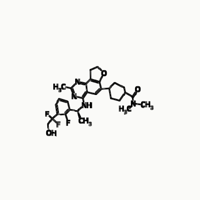 Cc1nc(N[C@@H](C)c2cccc(C(F)(F)CO)c2F)c2cc(C3CCC(C(=O)N(C)C)CC3)c3c(c2n1)CCO3